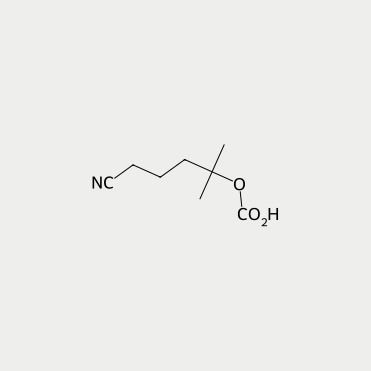 CC(C)(CCCC#N)OC(=O)O